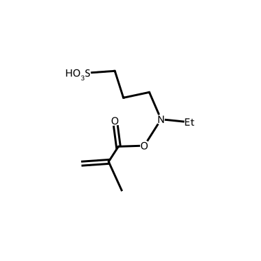 C=C(C)C(=O)ON(CC)CCCS(=O)(=O)O